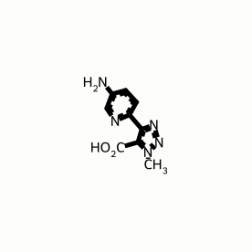 Cn1nnc(-c2ccc(N)cn2)c1C(=O)O